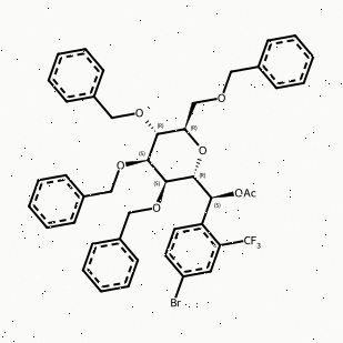 CC(=O)O[C@@H](c1ccc(Br)cc1C(F)(F)F)[C@H]1O[C@H](COCc2ccccc2)[C@@H](OCc2ccccc2)[C@H](OCc2ccccc2)[C@@H]1OCc1ccccc1